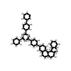 c1ccc(-c2ccc(-c3nc(-c4ccccc4)nc(-c4ccc(-c5ccc6c(ccc7ccc8sc9ccccc9c8c76)c5)cc4)n3)cc2)cc1